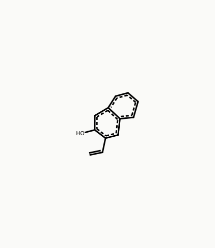 C=Cc1cc2ccccc2cc1O